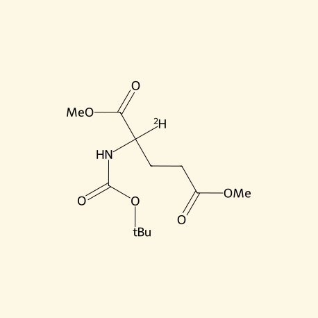 [2H]C(CCC(=O)OC)(NC(=O)OC(C)(C)C)C(=O)OC